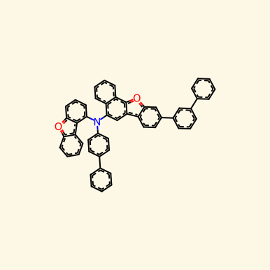 c1ccc(-c2ccc(N(c3cc4c5ccc(-c6cccc(-c7ccccc7)c6)cc5oc4c4ccccc34)c3cccc4oc5ccccc5c34)cc2)cc1